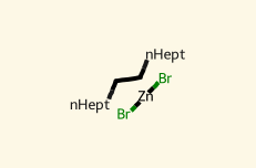 [Br][Zn][Br].[CH2]CCCCCCCCCCCCCCC